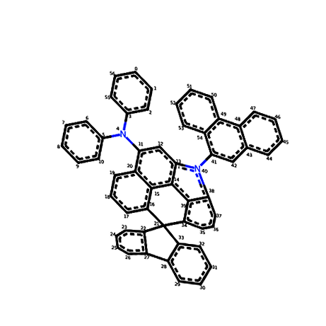 c1ccc(N(c2ccccc2)c2cc3c4c5c(cccc25)C2(c5ccccc5-c5ccccc52)c2cccc(c24)n3-c2cc3ccccc3c3ccccc23)cc1